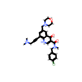 CN(C)CC#Cc1cc(CN2CCOCC2)cc2c(=O)c(C(=O)N(C)Cc3ccc(Cl)cc3)c[nH]c12